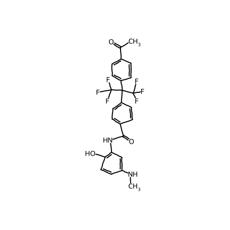 CNc1ccc(O)c(NC(=O)c2ccc(C(c3ccc(C(C)=O)cc3)(C(F)(F)F)C(F)(F)F)cc2)c1